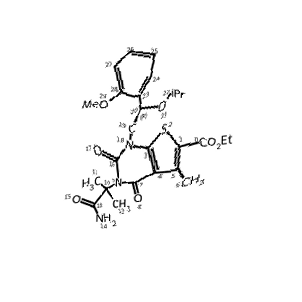 CCOC(=O)c1sc2c(c1C)c(=O)n(C(C)(C)C(N)=O)c(=O)n2C[C@H](OC(C)C)c1ccccc1OC